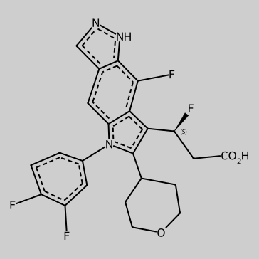 O=C(O)C[C@H](F)c1c(C2CCOCC2)n(-c2ccc(F)c(F)c2)c2cc3cn[nH]c3c(F)c12